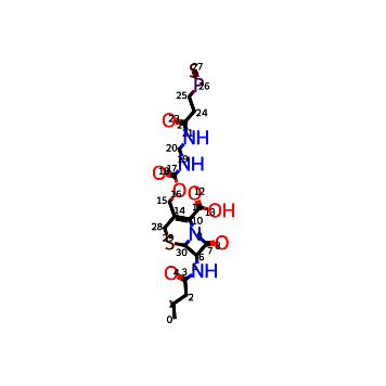 CCCC(=O)NC1C(=O)N2C(C(=O)O)=C(COC(=O)NCNC(=O)CCP=S)CSC12